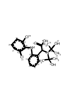 CC(C)(O)N(C(C(=O)O)c1ccccc1Nc1c(Cl)cccc1Cl)C(C)(C)O